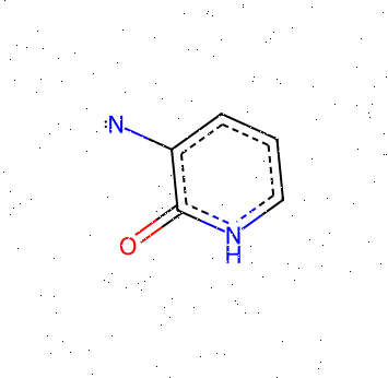 [N]c1ccc[nH]c1=O